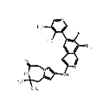 Cc1c(N)cncc1-c1cc2cc(Nc3cc4n(n3)CC(=O)NC(C)(C)C4)ncc2c(N)c1F